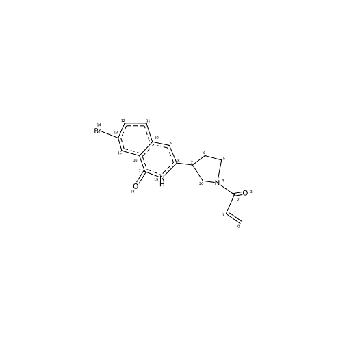 C=CC(=O)N1CCC(c2cc3ccc(Br)cc3c(=O)[nH]2)C1